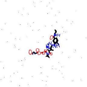 CCCNC(=O)c1ccc(C)c(NC2=NC=NN3CC(C(=O)N(C(=O)OCOC(=O)/C=C/C=O)C4CC4)C(C)=C23)c1